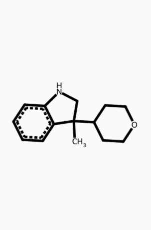 CC1(C2CCOCC2)CNc2ccccc21